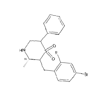 C[C@@H]1NCC(c2ccccc2)S(=O)(=O)C1Cc1ccc(Br)cc1F